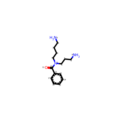 NCCCCN(CCCN)C(=O)c1ccccc1